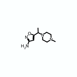 CC(c1cc(N)no1)N1CCN(C)CC1